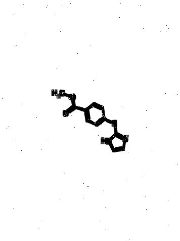 COC(=O)c1ccc(Sc2ncc[nH]2)cc1